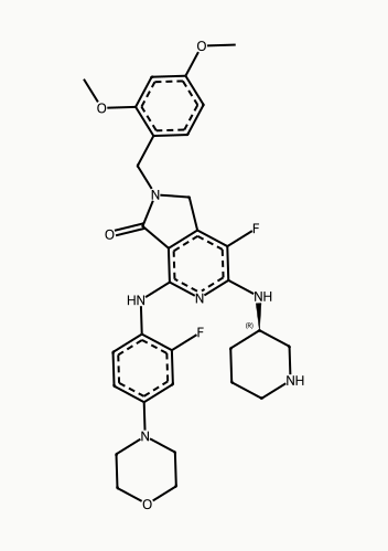 COc1ccc(CN2Cc3c(F)c(N[C@@H]4CCCNC4)nc(Nc4ccc(N5CCOCC5)cc4F)c3C2=O)c(OC)c1